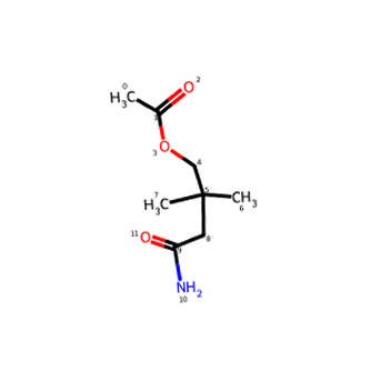 CC(=O)OCC(C)(C)CC(N)=O